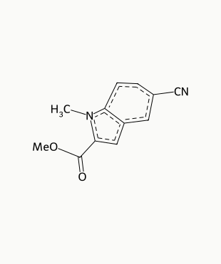 COC(=O)c1cc2cc(C#N)ccc2n1C